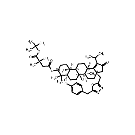 CC(C)C1=C2[C@H]3CC[C@@H]4[C@@]5(C)CC[C@H](OC(=O)CC(C)(C)C(=O)OC(C)(C)C)C(C)(C)[C@@H]5CC[C@@]4(C)[C@]3(C)CC[C@@]2(Cc2nnc(Cc3ccc(Cl)cc3)o2)CC1=O